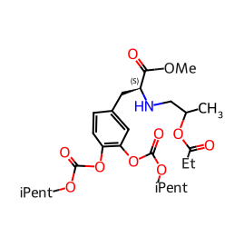 CCCC(C)OC(=O)Oc1ccc(C[C@H](NCC(C)OC(=O)CC)C(=O)OC)cc1OC(=O)OC(C)CCC